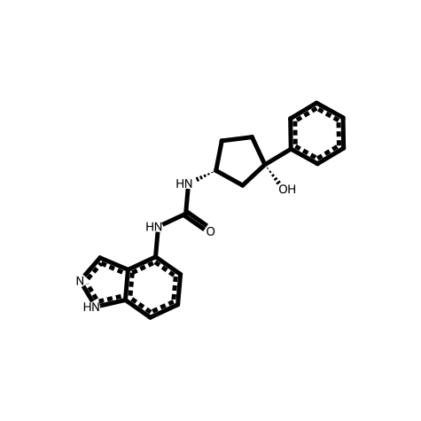 O=C(Nc1cccc2[nH]ncc12)N[C@@H]1CC[C@@](O)(c2ccccc2)C1